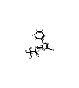 Cc1cn(-c2cccnc2)/c(=N/C(=O)C(C)(C)C)s1